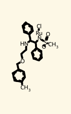 Cc1ccc(COCCNC(c2ccccc2)C(c2ccccc2)[N]([Ru][Cl])S(C)(=O)=O)cc1